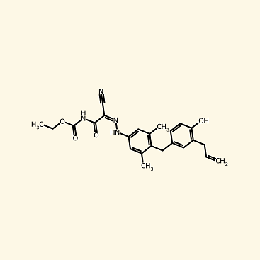 C=CCc1cc(Cc2c(C)cc(NN=C(C#N)C(=O)NC(=O)OCC)cc2C)ccc1O